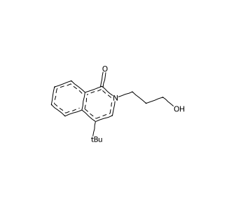 CC(C)(C)c1cn(CCCO)c(=O)c2ccccc12